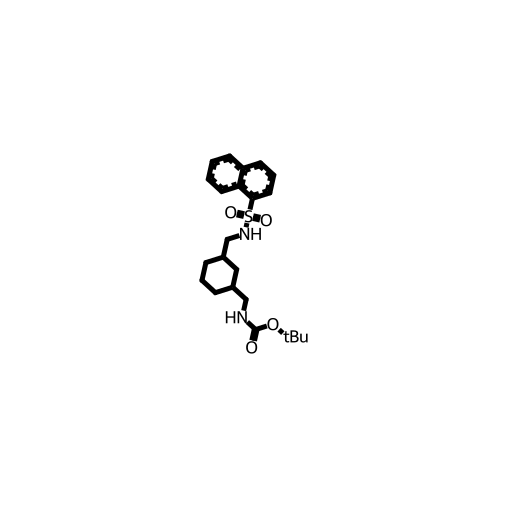 CC(C)(C)OC(=O)NCC1CCCC(CNS(=O)(=O)c2cccc3ccccc23)C1